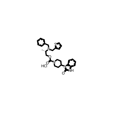 C[C@@H](COC(=O)N1CCC(n2c(=O)[nH]c3ccccc32)CC1)N(Cc1ccccc1)Cc1cccs1.Cl